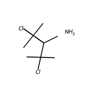 CC(C(C)(C)Cl)C(C)(C)Cl.N